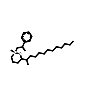 CCCCCCCCCCCC(C)C1CCC[Si](C)(CC(C)c2ccccc2)O1